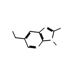 Cc1nc2cc(CC(C)(C)C)cnc2n1C